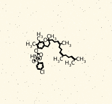 CC(C)=CCCC(C)=CCCC(C)=CCCC1(C)CCc2cc(OC(=O)NS(=O)(=O)c3ccc(Cl)cc3)c(C)c(C)c2O1